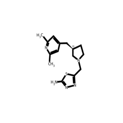 Cc1cc(C[C@H]2CCN(Cc3nnc(N)s3)C2)cc(C)n1